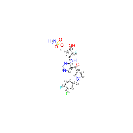 NS(=O)(=O)OC[C@H]1C[C@@H](Nc2ncncc2C(=O)c2ccn(Cc3ccc(F)c(Cl)c3)c2)[C@@H](F)[C@@H]1O